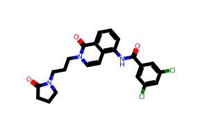 O=C(Nc1cccc2c(=O)n(CCCN3CCCC3=O)ccc12)c1cc(Cl)cc(Cl)c1